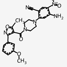 COc1cccc(-c2noc(C)c2C(=O)N2CCN(c3cc(N)c([N+](=O)[O-])cc3C#N)CC2)c1